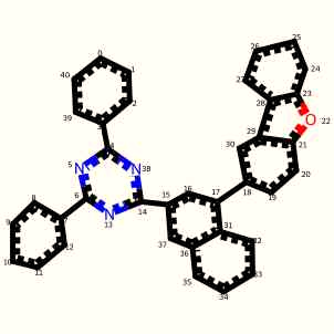 c1ccc(-c2nc(-c3ccccc3)nc(-c3cc(-c4ccc5oc6ccccc6c5c4)c4ccccc4c3)n2)cc1